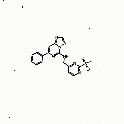 CS(=O)(=O)c1nccc(CNc2nc(-c3ccccc3)cc3ncnn23)n1